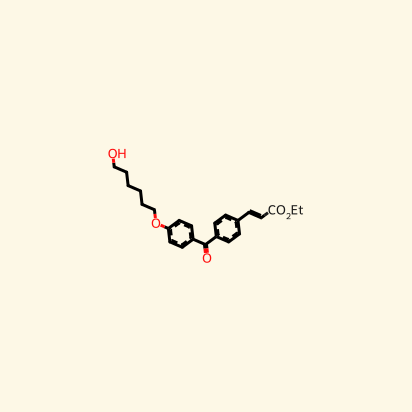 CCOC(=O)/C=C/c1ccc(C(=O)c2ccc(OCCCCCCO)cc2)cc1